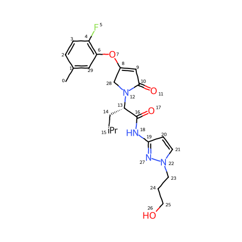 Cc1ccc(F)c(OC2=CC(=O)N([C@@H](CC(C)C)C(=O)Nc3ccn(CCCO)n3)C2)c1